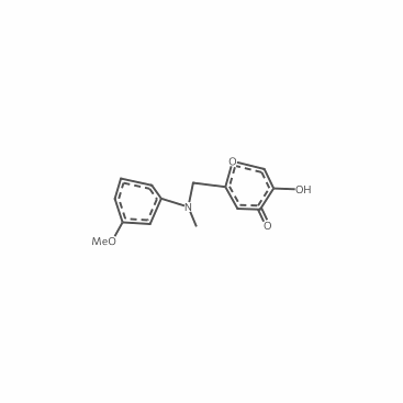 COc1cccc(N(C)Cc2cc(=O)c(O)co2)c1